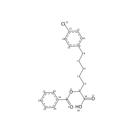 O=C(OC(CCCCCc1ccc(Cl)cc1)C(=O)O)c1ccccc1